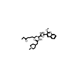 CCC(=O)CCCCC[C@H](NC(=O)CC1CCN(C)CC1)c1nnc(-c2cc3ccccc3nc2OC)o1